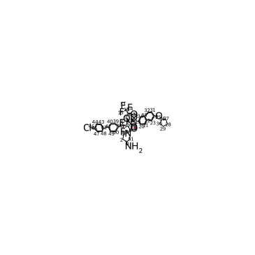 N[C@H]1CCN(C(=O)[C@@H](N(OC(=O)C(F)(F)F)S(=O)(=O)c2ccc3cc(OC4CCCC4)ccc3c2)C(F)(F)c2ccc(-c3ccc(Cl)cc3)cc2)C1